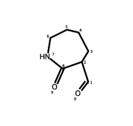 O=[C]C1CCCCNC1=O